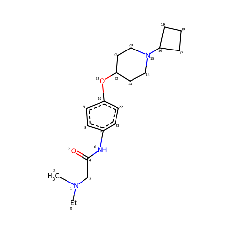 CCN(C)CC(=O)Nc1ccc(OC2CCN(C3CCC3)CC2)cc1